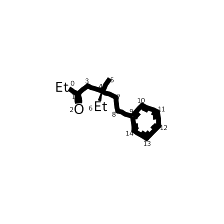 CCC(=O)C[C@@](C)(CC)CCc1ccccc1